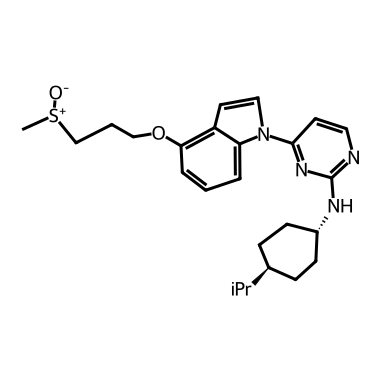 CC(C)[C@H]1CC[C@H](Nc2nccc(-n3ccc4c(OCCC[S+](C)[O-])cccc43)n2)CC1